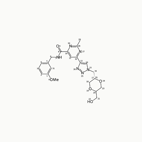 COc1cccc(CNC(=O)c2cc(-c3cn(C[C@H]4COC(CO)CO4)nn3)nc(C)n2)c1